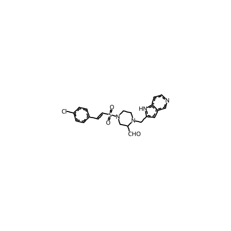 O=CC1CN(S(=O)(=O)C=Cc2ccc(Cl)cc2)CCN1Cc1cc2cnccc2[nH]1